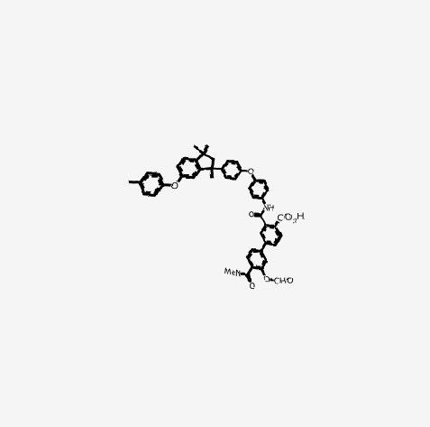 CNC(=O)c1ccc(-c2ccc(C(=O)O)c(C(=O)Nc3ccc(Oc4ccc(C5(C)CC(C)(C)c6ccc(Oc7ccc(C)cc7)cc65)cc4)cc3)c2)cc1OC=O